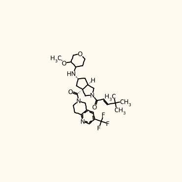 COC1COCCC1N[C@@H]1C[C@H]2CN(C(=O)/C=C/C(C)(C)C)C[C@@]2(C(=O)N2CCc3ncc(C(F)(F)F)cc3C2)C1